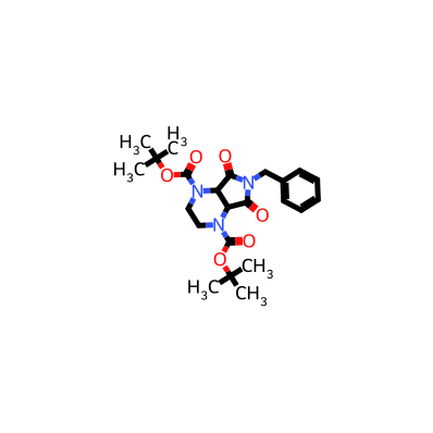 CC(C)(C)OC(=O)N1CCN(C(=O)OC(C)(C)C)C2C(=O)N(Cc3ccccc3)C(=O)C21